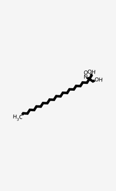 CCCCCCCCCCCCCCCCCCCCCC(CO)(CO)N=O